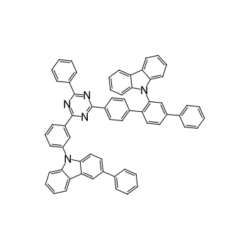 c1ccc(-c2ccc(-c3ccc(-c4nc(-c5ccccc5)nc(-c5cccc(-n6c7ccccc7c7cc(-c8ccccc8)ccc76)c5)n4)cc3)c(-n3c4ccccc4c4ccccc43)c2)cc1